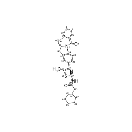 Cc1ccccc1C(=O)N1CCc2cc(-c3nc(NC(=O)CC4CCCCC4)sc3C)ccc21